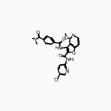 COc1nccc2oc(C(=O)Nc3ccc(Cl)cn3)c(NC(=O)c3ccc(C(=O)N(C)C)cc3)c12